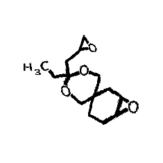 CCC1(CC2CO2)OCC2(CCC3OC3C2)CO1